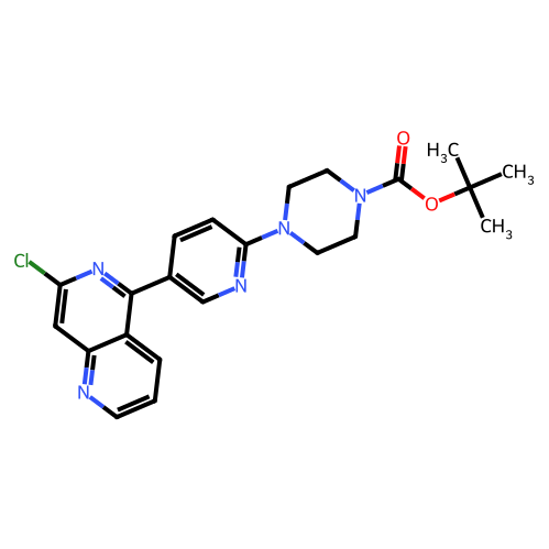 CC(C)(C)OC(=O)N1CCN(c2ccc(-c3nc(Cl)cc4ncccc34)cn2)CC1